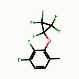 Cc1ccc(F)c(F)c1OC1(F)C(F)(F)C1(F)F